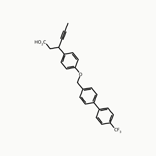 CC#CC(CC(=O)O)c1ccc(OCc2ccc(-c3ccc(C(F)(F)F)cc3)cc2)cc1